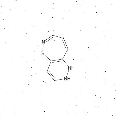 c1cnsc2cc[nH][nH]c=2c1